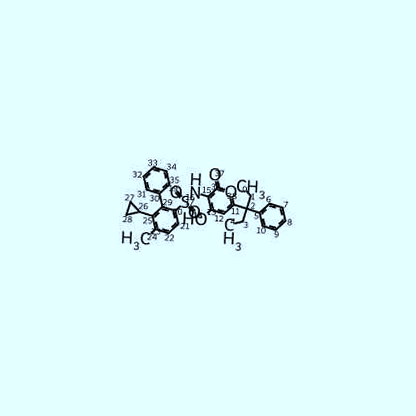 CCC(CC)(c1ccccc1)c1cc(O)c(NS(=O)(=O)c2ccc(C)c(C3CC3)c2-c2ccccc2)c(=O)o1